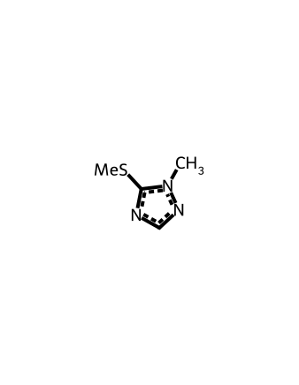 [CH2]Sc1ncnn1C